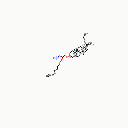 CCCCCCCCCCCCCCCCOC(CN)CO[C@H]1CC[C@@]2(C)C(=CC[C@H]3[C@@H]4CC[C@H]([C@H](C)CCCC(C)C)[C@@]4(C)CC[C@@H]32)C1